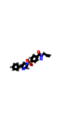 C#CCNC(=O)c1ccc(S(=O)(=O)n2cnc(-c3ccccc3)c2)cc1